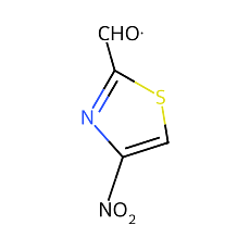 O=[C]c1nc([N+](=O)[O-])cs1